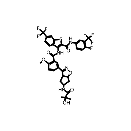 COc1ccc(C2=NOC3CC(NC(=O)C(C)(C)O)CC23)cc1C(=O)Nc1c(C(=O)Nc2ccc(F)c(C(F)(F)F)c2)sc2cc(C(F)(F)F)ccc12